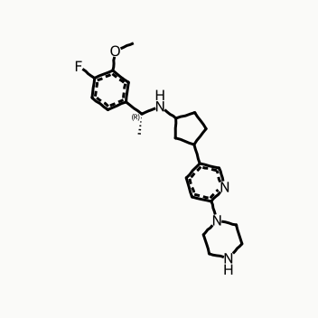 COc1cc([C@@H](C)NC2CCC(c3ccc(N4CCNCC4)nc3)C2)ccc1F